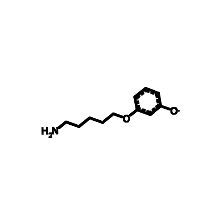 NCCCCCOc1cccc([O])c1